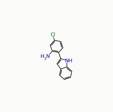 Nc1cc(Cl)ccc1-c1cc2ccccc2[nH]1